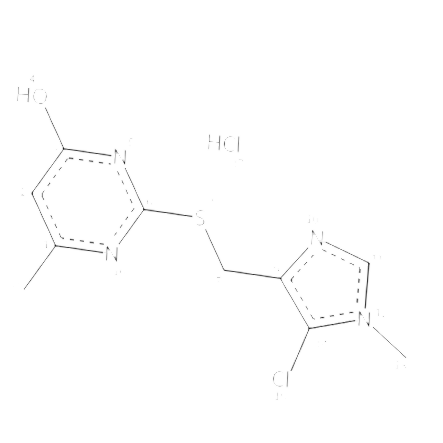 Cc1cc(O)nc(SCc2ncn(C)c2Cl)n1.Cl